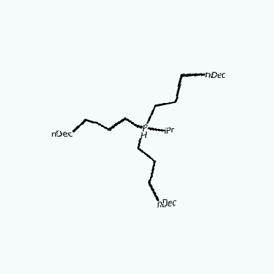 CCCCCCCCCCCCC[PH](CCCCCCCCCCCCC)(CCCCCCCCCCCCC)C(C)C